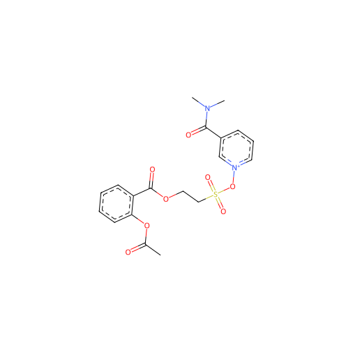 CC(=O)Oc1ccccc1C(=O)OCCS(=O)(=O)O[n+]1cccc(C(=O)N(C)C)c1